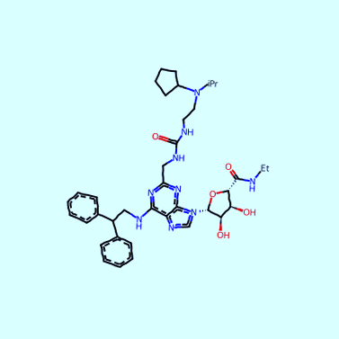 CCNC(=O)[C@H]1O[C@@H](n2cnc3c(NCC(c4ccccc4)c4ccccc4)nc(CNC(=O)NCCN(C(C)C)C4CCCC4)nc32)[C@H](O)[C@@H]1O